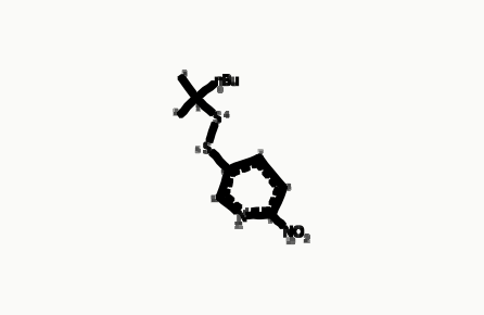 CCCCC(C)(C)SSc1ccc([N+](=O)[O-])nc1